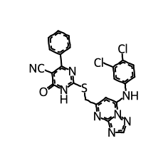 N#Cc1c(-c2ccccc2)nc(SCc2cc(Nc3ccc(Cl)c(Cl)c3)n3ncnc3n2)[nH]c1=O